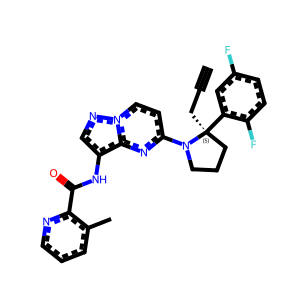 C#CC[C@]1(c2cc(F)ccc2F)CCCN1c1ccn2ncc(NC(=O)c3ncccc3C)c2n1